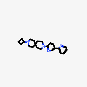 c1ccc(-c2ccc(N3CCC4(CC3)CCN(C3CCC3)CC4)nc2)nc1